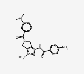 CN(C)c1cccc(C(=O)N2Cc3c(NC(=O)c4ccc([N+](=O)[O-])cc4)nn(C(=O)O)c3C2)c1